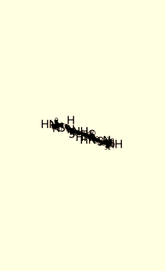 Cc1[nH]cnc1CSCCNC(=S)NCCCCNC(=S)NCCSCc1nc[nH]c1C